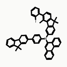 Cc1c(-c2ccccc2I)ccc2c1-c1cc(N(c3ccc(C4=CCC5C(=C4)C(C)(C)c4ccccc45)cc3)c3cc4ccccc4c4ccccc34)ccc1C2(C)C